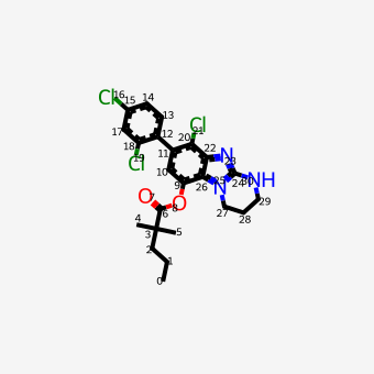 CCCC(C)(C)C(=O)Oc1cc(-c2ccc(Cl)cc2Cl)c(Cl)c2nc3n(c12)CCCN3